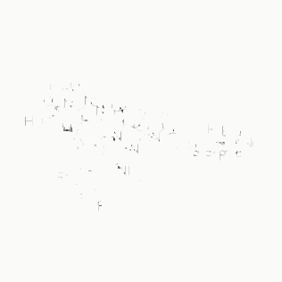 CC(=O)N(c1nn(C)c2c(-n3c([C@@H](N)Cc4cc(F)cc(F)c4)nc4nc(OCC(F)(F)C(F)(F)C(F)(F)C(F)(F)F)ccc4c3=O)ccc(Cl)c12)S(C)(=O)=O